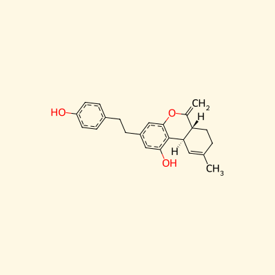 C=C1Oc2cc(CCc3ccc(O)cc3)cc(O)c2[C@@H]2C=C(C)CC[C@@H]12